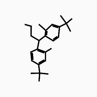 CCCC(c1ccc(C(C)(C)C)cc1C)c1ccc(C(C)(C)C)cc1C